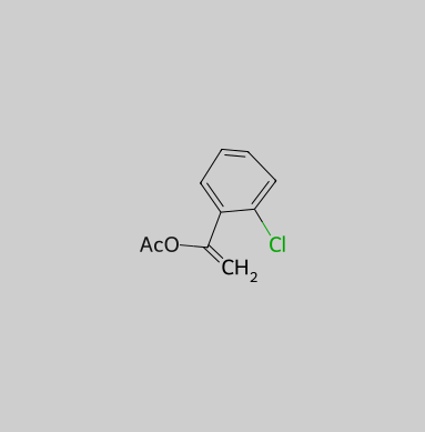 C=C(OC(C)=O)c1ccccc1Cl